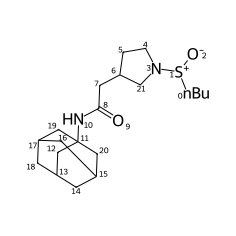 CCCC[S+]([O-])N1CCC(CC(=O)NC23CC4CC(CC(C4)C2)C3)C1